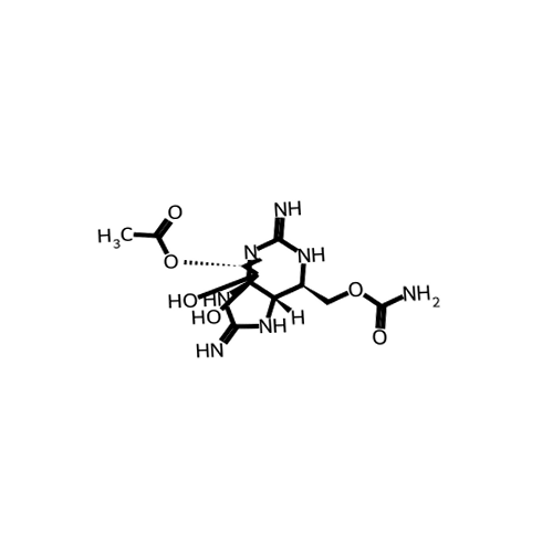 CC(=O)O[C@@H]1CN2C(=N)N[C@@H](COC(N)=O)[C@@H]3NC(=N)N[C@@]32C1(O)O